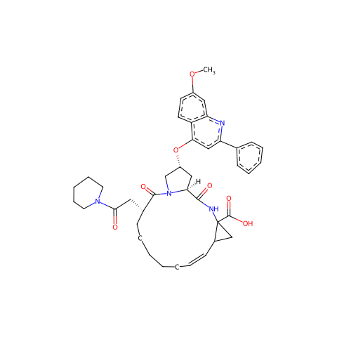 COc1ccc2c(O[C@@H]3C[C@H]4C(=O)NC5(C(=O)O)CC5/C=C\CCCCC[C@H](CC(=O)N5CCCCC5)C(=O)N4C3)cc(-c3ccccc3)nc2c1